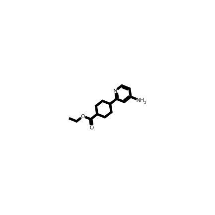 CCOC(=O)C1CCC(c2cc(N)ccn2)CC1